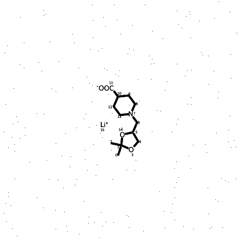 CC1(C)OCC(CN2CCC(C(=O)[O-])CC2)O1.[Li+]